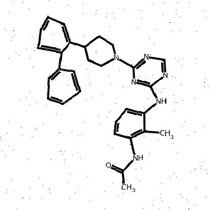 CC(=O)Nc1cccc(Nc2ncnc(N3CCC(c4ccccc4-c4ccccc4)CC3)n2)c1C